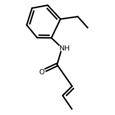 CC=CC(=O)Nc1ccccc1CC